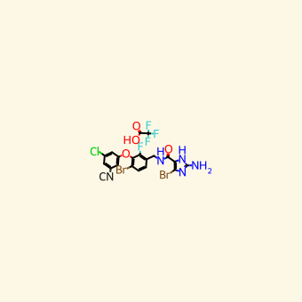 N#Cc1cc(Cl)cc(Oc2c(Br)ccc(CNC(=O)c3[nH]c(N)nc3Br)c2F)c1.O=C(O)C(F)(F)F